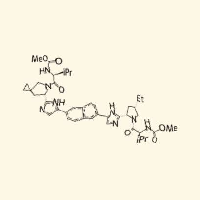 CC[C@H]1C[C@@H](c2ncc(-c3ccc4cc(-c5cnc([C@@H]6CC7(CC7)CN6C(=O)[C@@H](NC(=O)OC)C(C)C)[nH]5)ccc4c3)[nH]2)N(C(=O)[C@@H](NC(=O)OC)C(C)C)C1